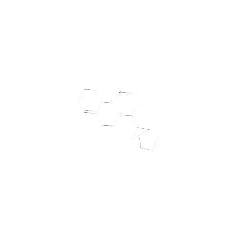 NC(=O)C1c2cc[c]cc2CCN1C(=O)C1CC2C=CC1C2